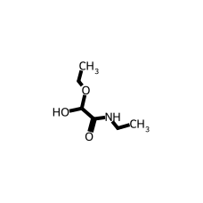 CCNC(=O)C(O)OCC